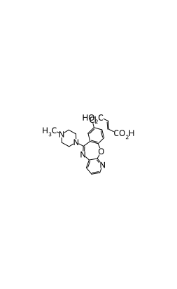 CN1CCN(C2=Nc3cccnc3Oc3ccc(Cl)cc32)CC1.O=C(O)/C=C/C(=O)O